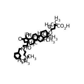 Cc1cccc(CN(CCN(C)C)C[C@H](O)[C@@]23CC[C@]4(C)[C@H](CC[C@@H]5[C@@]6(C)CC[C@H](OC(=O)CC(C)(C)C(=O)O)C(C)(C)[C@@H]6CC[C@]54C)C2=C(C(C)C)C(=O)C3)c1